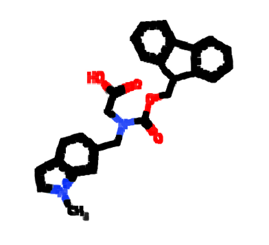 Cn1ccc2ccc(CN(CC(=O)O)C(=O)OCC3c4ccccc4-c4ccccc43)cc21